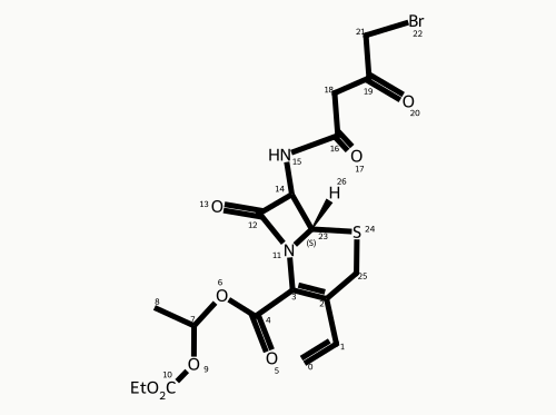 C=CC1=C(C(=O)OC(C)OC(=O)OCC)N2C(=O)C(NC(=O)CC(=O)CBr)[C@@H]2SC1